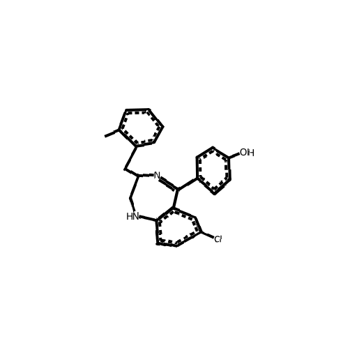 Cc1ccccc1CC1CNc2ccc(Cl)cc2C(c2ccc(O)cc2)=N1